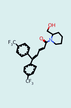 O=C(/C=C/C=C(c1ccc(C(F)(F)F)cc1)c1ccc(C(F)(F)F)cc1)N1CCCCC1CO